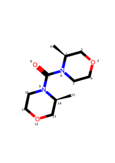 C[C@H]1COCCN1C(=O)N1CCOC[C@@H]1C